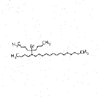 CCCCCCCCCCCCCCC(CCCC)C(Br)(CCCC)CCCC